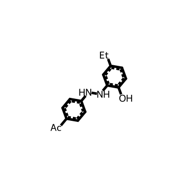 CCc1ccc(O)c(NNc2ccc(C(C)=O)cc2)c1